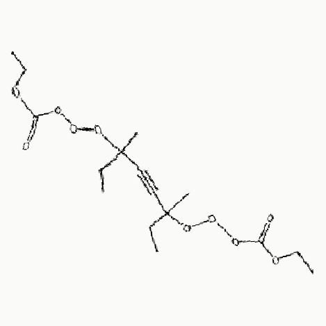 CCOC(=O)OOOC(C)(C#CC(C)(CC)OOOC(=O)OCC)CC